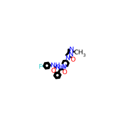 Cc1ncc2n1C(=O)N(C1CCN(C(=O)[C@H](NC(=O)Nc3ccc(F)cc3)c3ccccc3)CC1)C2